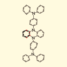 c1ccc(N(c2ccccc2)c2ccc(N(c3ccccc3)c3ccccc3N(c3ccccc3)c3ccc(N(c4ccccc4)c4ccccc4)cc3)cc2)cc1